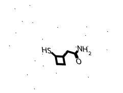 NC(=O)CC1CCC1S